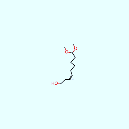 COC(CCCC/C=C\CCO)OC